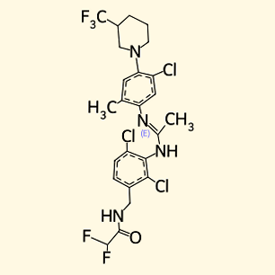 C/C(=N\c1cc(Cl)c(N2CCCC(C(F)(F)F)C2)cc1C)Nc1c(Cl)ccc(CNC(=O)C(F)F)c1Cl